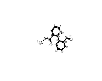 CSC(=S)c1cccnc1-c1ccccc1[C]=O